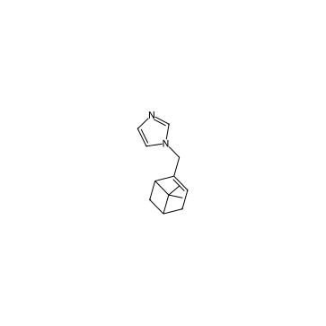 CC1(C)C2CC=C(Cn3ccnc3)C1C2